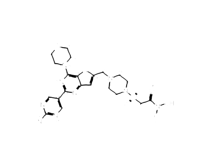 CN(C)C(=O)CS(=O)(=O)N1CCN(Cc2cc3nc(-c4cnc(N)nc4)nc(N4CCOCC4)c3s2)CC1